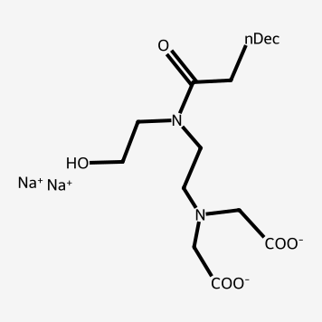 CCCCCCCCCCCC(=O)N(CCO)CCN(CC(=O)[O-])CC(=O)[O-].[Na+].[Na+]